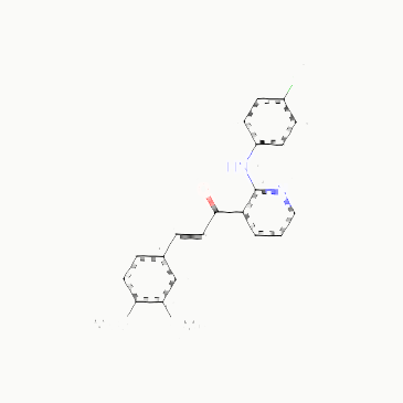 COc1ccc(C=CC(=O)c2cccnc2Nc2ccc(Cl)cc2)cc1OC